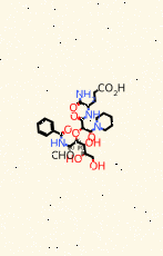 NC(=O)C(CCC(=O)O)NC(=O)C(O[C@@H]([C@H](O)[C@H](O)CO)[C@H](C=O)NC(=O)c1ccccc1)C(=O)N1CCCCC1